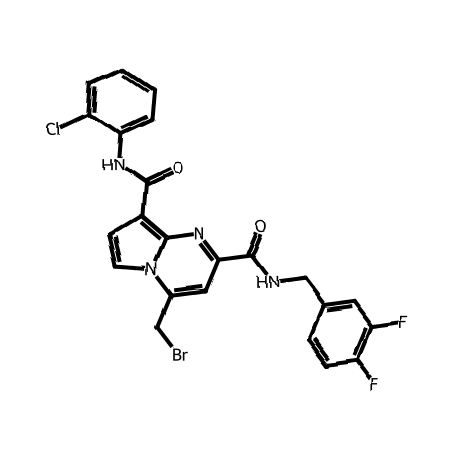 O=C(NCc1ccc(F)c(F)c1)c1cc(CBr)n2ccc(C(=O)Nc3ccccc3Cl)c2n1